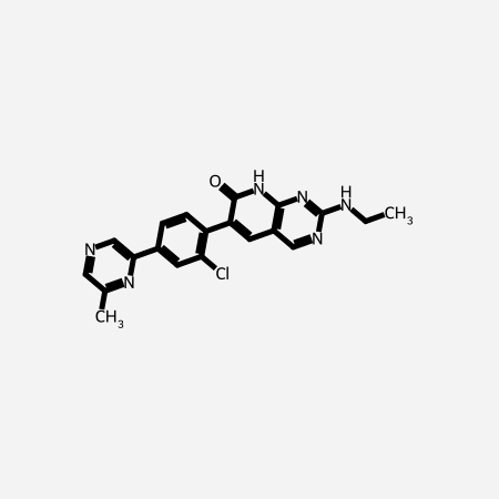 CCNc1ncc2cc(-c3ccc(-c4cncc(C)n4)cc3Cl)c(=O)[nH]c2n1